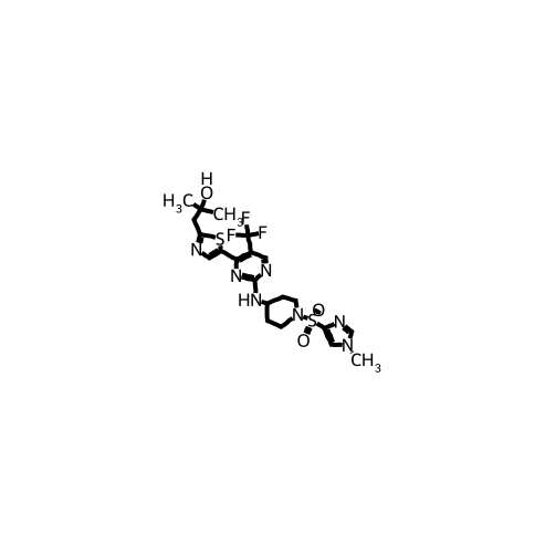 Cn1cnc(S(=O)(=O)N2CCC(Nc3ncc(C(F)(F)F)c(-c4cnc(CC(C)(C)O)s4)n3)CC2)c1